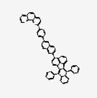 c1ccc(-c2c3c(c(-c4ccccc4)c4ccccc24)-c2ccc(-c4ccc5cc(-c6ccc(-c7ccc8ccc9cccnc9c8n7)cc6)ccc5c4)c4cccc-3c24)cc1